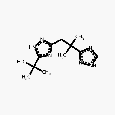 CC(C)(C)c1nc(CC(C)(C)c2nc[nH]n2)n[nH]1